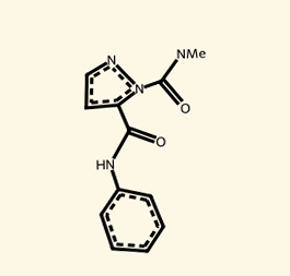 CNC(=O)n1nccc1C(=O)Nc1ccccc1